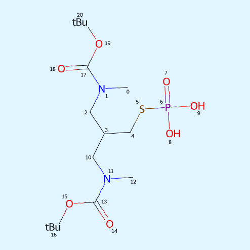 CN(CC(CSP(=O)(O)O)CN(C)C(=O)OC(C)(C)C)C(=O)OC(C)(C)C